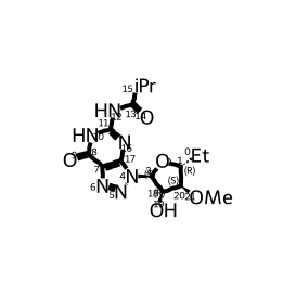 CC[C@H]1O[C@H](n2nnc3c(=O)[nH]c(NC(=O)C(C)C)nc32)[C@H](O)[C@@H]1OC